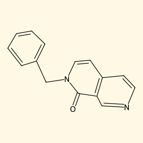 O=c1c2cnccc2ccn1Cc1ccccc1